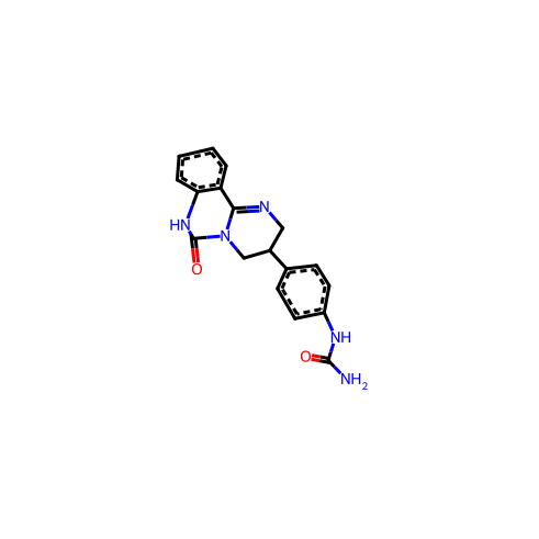 NC(=O)Nc1ccc(C2CN=C3c4ccccc4NC(=O)N3C2)cc1